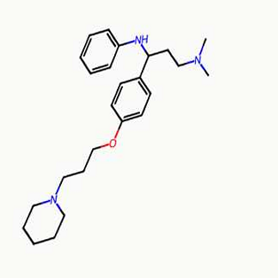 CN(C)CCC(Nc1ccccc1)c1ccc(OCCCN2CCCCC2)cc1